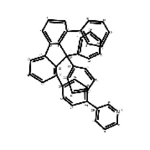 c1ccc(-c2cccc3c2C(c2ccccc2)(c2ccccc2)c2c(-c4ccc(-c5cccnc5)cc4)cccc2-3)cc1